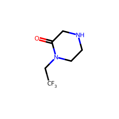 O=C1CNCCN1CC(F)(F)F